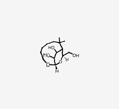 CC1(C)CCCCCO[C@H]2O[C@H](CO)C1C(O)C2O